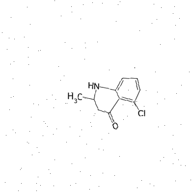 CC1CC(=O)c2c(Cl)cccc2N1